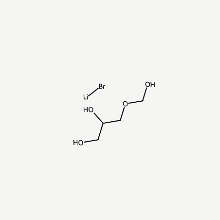 OCOCC(O)CO.[Li][Br]